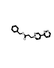 O=C(CC[n+]1ccc(-c2cccnn2)cn1)OCc1ccccc1